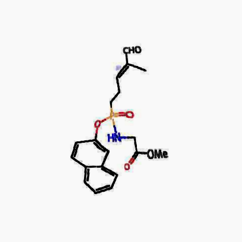 COC(=O)CNP(=O)(CC/C=C(\C)C=O)Oc1ccc2ccccc2c1